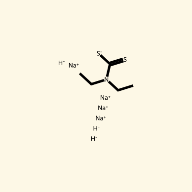 CCN(CC)C(=S)[S-].[H-].[H-].[H-].[Na+].[Na+].[Na+].[Na+]